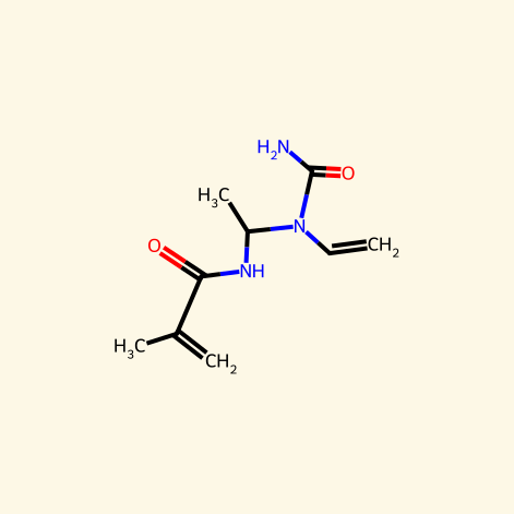 C=CN(C(N)=O)C(C)NC(=O)C(=C)C